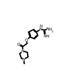 CN1CCN(C(=O)COc2ccc(NC(=N)N)cc2)CC1